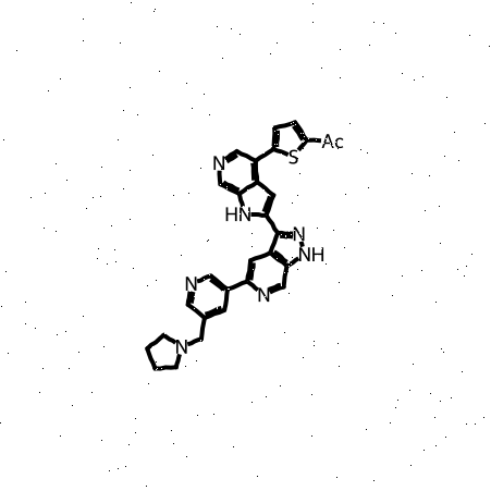 CC(=O)c1ccc(-c2cncc3[nH]c(-c4n[nH]c5cnc(-c6cncc(CN7CCCC7)c6)cc45)cc23)s1